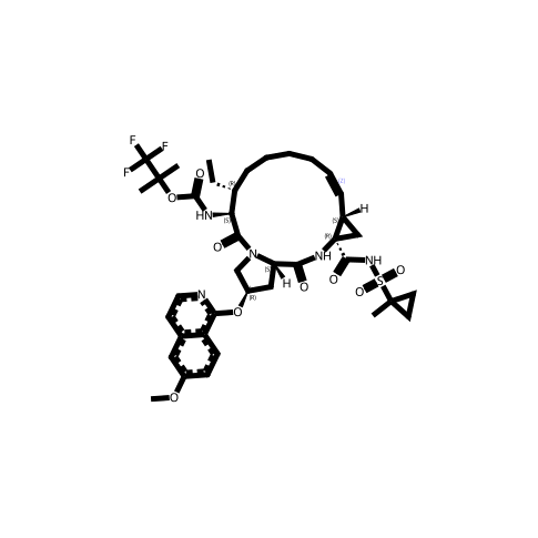 CC[C@@H]1CCCC/C=C\[C@@H]2C[C@@]2(C(=O)NS(=O)(=O)C2(C)CC2)NC(=O)[C@@H]2C[C@@H](Oc3nccc4cc(OC)ccc34)CN2C(=O)[C@H]1NC(=O)OC(C)(C)C(F)(F)F